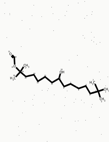 CC(C)(C)CCCCCC(O)CCCCCC(C)(C)OC=O